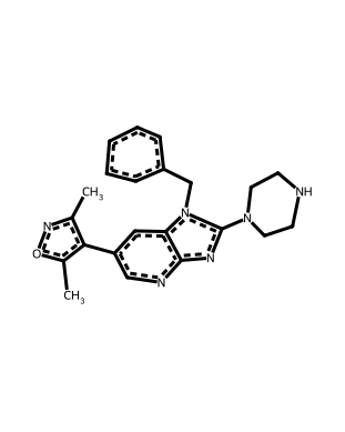 Cc1noc(C)c1-c1cnc2nc(N3CCNCC3)n(Cc3ccccc3)c2c1